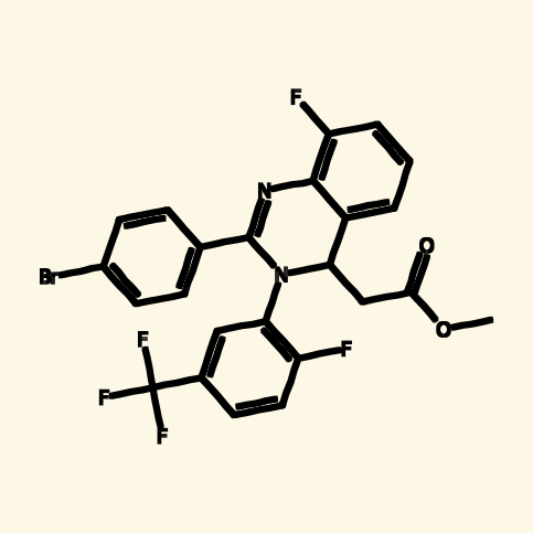 COC(=O)CC1c2cccc(F)c2N=C(c2ccc(Br)cc2)N1c1cc(C(F)(F)F)ccc1F